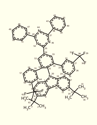 CC(C)(C)c1ccc2c(c1)c1cc(C(C)(C)C)ccc1n2-c1c(-c2cccc(C(F)(F)F)c2)cc(-c2nc(-c3ccccc3)nc(-c3ccccc3)n2)cc1-c1cccc(C(F)(F)F)c1